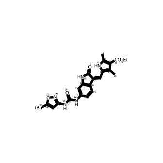 CCOC(=O)c1c(C)[nH]c(C=C2C(=O)Nc3cc(NC(=O)Nc4cc(C(C)(C)C)on4)ccc32)c1C